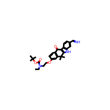 CCN(CCOc1ccc2c(c1)C(C)(C)c1[nH]c3cc(C=N)ccc3c1C2=O)C(=O)OC(C)(C)C